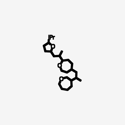 CC(C)C1CCC(CC(C)C2CCC(CC(C)C3CCCCOC3)CCO2)O1